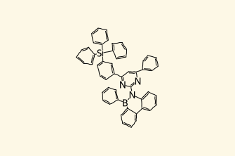 c1ccc(B2c3ccccc3-c3ccccc3N2c2nc(-c3ccccc3)cc(-c3cccc([Si](c4ccccc4)(c4ccccc4)c4ccccc4)c3)n2)cc1